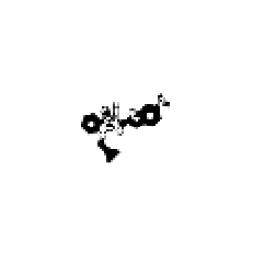 CN(C)c1ccc2cc(C(=O)NS(=O)(=O)c3ccccc3OCC3CC3)oc2c1